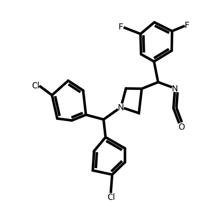 O=C=NC(c1cc(F)cc(F)c1)C1CN(C(c2ccc(Cl)cc2)c2ccc(Cl)cc2)C1